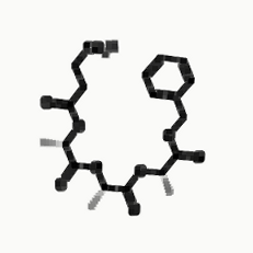 C[C@H](OC(=O)CCC(=O)O)C(=O)O[C@@H](C)C(=O)O[C@@H](C)C(=O)OCc1ccccc1